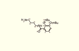 CCCCOc1cccc(C(=O)NCCCCN)c1OCCCC